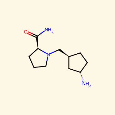 NC(=O)[C@@H]1CCCN1C[C@H]1CC[C@H](N)C1